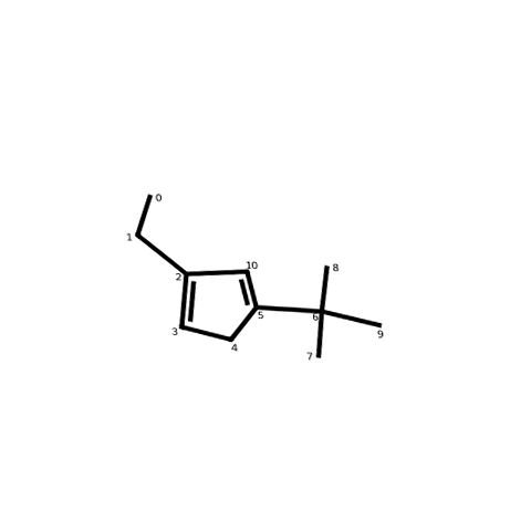 CCC1=CCC(C(C)(C)C)=C1